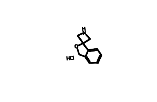 Cl.c1ccc2c(c1)COC21CNC1